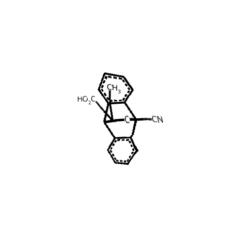 CC1(C(=O)O)CC2(C#N)c3ccccc3C1c1ccccc12